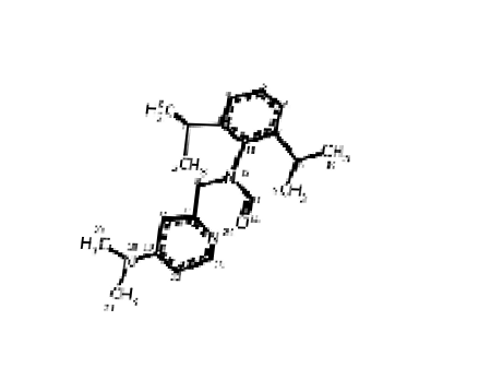 CC(C)c1cccc(C(C)C)c1N(C=O)Cc1cc(N(C)C)ccn1